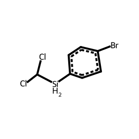 ClC(Cl)[SiH2]c1ccc(Br)cc1